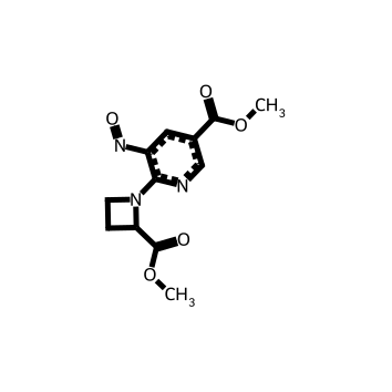 COC(=O)c1cnc(N2CCC2C(=O)OC)c(N=O)c1